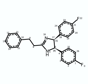 Fc1ccc([C@H]2NC(CCc3ccccc3)=N[C@H]2c2ccc(F)cc2)cc1